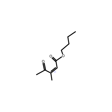 CCCCOC(=O)/C=C(/C)C(C)=O